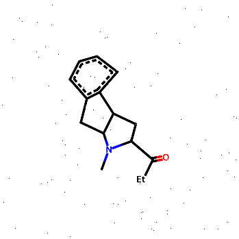 CCC(=O)C1CC2c3ccccc3CC2N1C